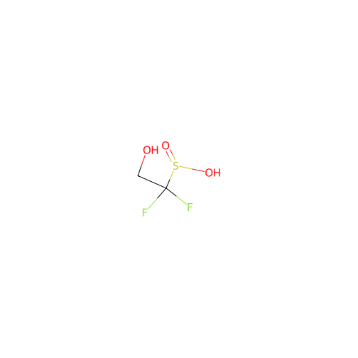 O=S(O)C(F)(F)CO